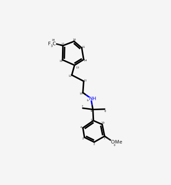 COc1cccc(C(C)(C)NCCCc2cccc(C(F)(F)F)c2)c1